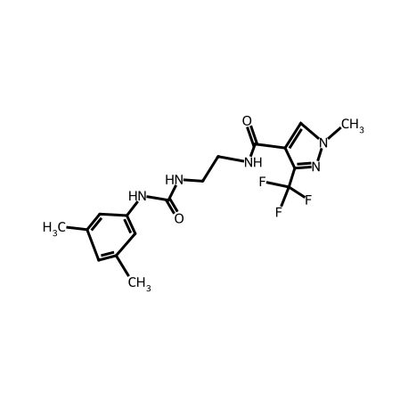 Cc1cc(C)cc(NC(=O)NCCNC(=O)c2cn(C)nc2C(F)(F)F)c1